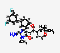 CN1C(=O)C2(CC(C3CCOC(C)(C)C3)Oc3ccc(-c4cc(F)cc(F)c4)cc32)N=C1N